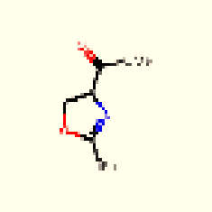 CCC(C)C1=NC(C(=O)OC)CO1